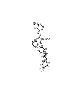 CCN1CCC[C@H](COc2cc3ncnc(-c4ccc(NC(=O)Cc5ccc(C(F)(F)F)cc5)cc4)c3cc2OC)C1